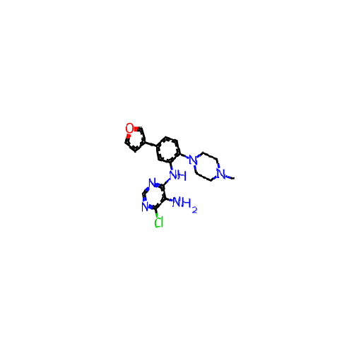 CN1CCN(c2ccc(-c3ccoc3)cc2Nc2ncnc(Cl)c2N)CC1